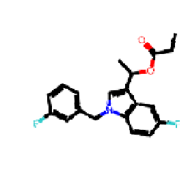 CCC(=O)OC(C)c1cn(Cc2cccc(F)c2)c2ccc(F)cc12